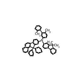 Cc1ccccc1-c1cc(N(c2ccc3c(c2)C(C)(C)c2ccccc2-3)c2ccc3c(c2)C(c2ccccc2)(c2ccccc2)c2c-3ccc3ccccc23)ccc1C